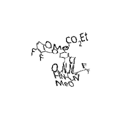 CCOC(=O)COc1cc(Cl)c(-n2c(=O)[nH]c3c(OC)nc(C(F)F)nc32)cc1OCc1c(OC)ccc(F)c1F